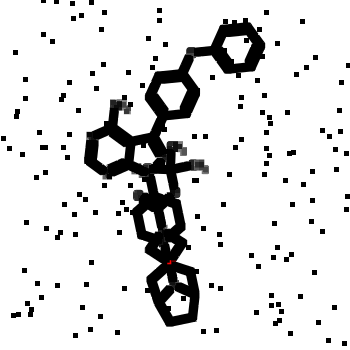 CC(C)(C)OC(=O)N1CC(N2C3CCC2CC(N2CCC(n4nc(-c5ccc(Oc6ccccc6)cc5)c5c(N)ncnc54)CC2)C3)C1